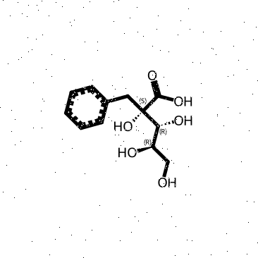 O=C(O)[C@](O)(Cc1ccccc1)[C@H](O)[C@H](O)CO